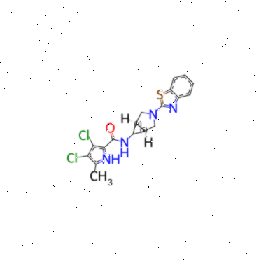 Cc1[nH]c(C(=O)NC2[C@H]3CN(c4nc5ccccc5s4)C[C@@H]23)c(Cl)c1Cl